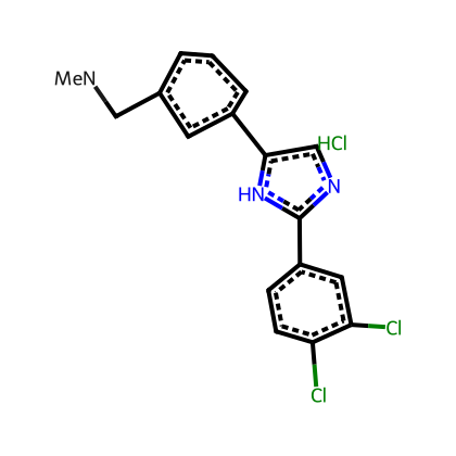 CNCc1cccc(-c2cnc(-c3ccc(Cl)c(Cl)c3)[nH]2)c1.Cl